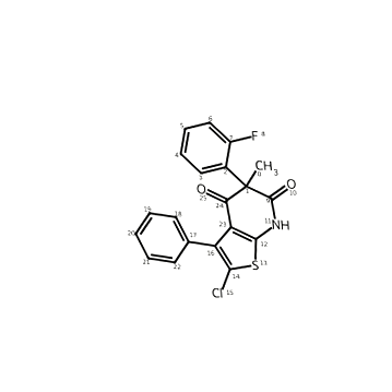 CC1(c2ccccc2F)C(=O)Nc2sc(Cl)c(-c3ccccc3)c2C1=O